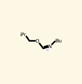 CCC(C)/N=C\OCC(C)C